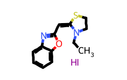 CCN1CCSC1=Cc1nc2ccccc2o1.I